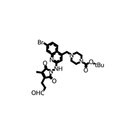 CC1=C(CCC=O)C(=O)N(Nc2cc(CN3CCN(C(=O)OC(C)(C)C)CC3)c3ccc(Br)cc3n2)C1=O